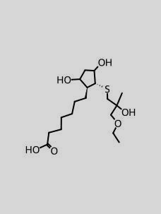 CCOCC(C)(O)CS[C@H]1C(O)CC(O)[C@@H]1CCCCCCC(=O)O